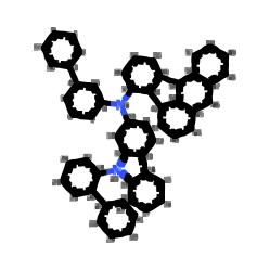 c1ccc(-c2cccc(N(c3ccc4c5ccccc5n(-c5ccccc5-c5ccccc5)c4c3)c3cccc4c3-c3cccc5cc6ccccc6c-4c35)c2)cc1